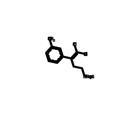 CCCCCCCCCC(=C(Cl)Cl)c1cccc(C)c1